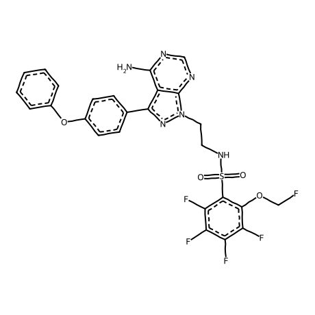 Nc1ncnc2c1c(-c1ccc(Oc3ccccc3)cc1)nn2CCNS(=O)(=O)c1c(F)c(F)c(F)c(F)c1OCF